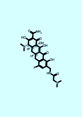 CN(C)CC(=O)NCc1cc(F)c2c(c1O)C(=O)C1=C(O)[C@]3(O)C(=O)C(C(N)=O)=C(O)[C@@H](N(C)C)[C@@H]3C[C@@H]1C2